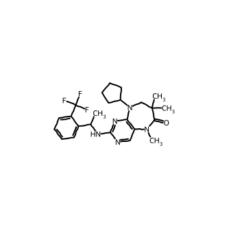 CC(Nc1ncc2c(n1)N(C1CCCC1)CC(C)(C)C(=O)N2C)c1ccccc1C(F)(F)F